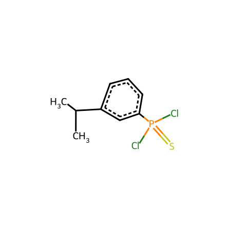 CC(C)c1cccc(P(=S)(Cl)Cl)c1